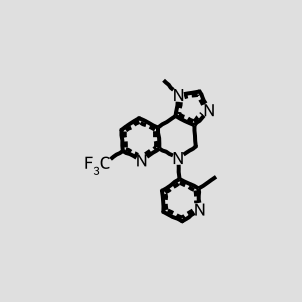 Cc1ncccc1N1Cc2ncn(C)c2-c2ccc(C(F)(F)F)nc21